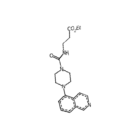 CCOC(=O)CCNC(=O)N1CCN(c2cccc3cnccc23)CC1